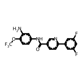 Nc1cc(NC(=O)c2ccc(-c3cc(F)cc(F)c3)nc2)ccc1OC(F)(F)F